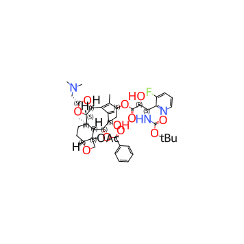 C=C1C2=C(C)[C@@H](OC(=O)[C@H](O)[C@@H](NC(=O)OC(C)(C)C)c3ncccc3F)C[C@@]1(O)[C@@H](OC(=O)c1ccccc1)[C@H]1[C@@](C)(CC[C@H]3OC[C@]31OC(C)=O)[C@@H]1O[C@H](CN(C)C)O[C@H]21